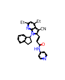 CCc1cc(CC)c2c(C#N)c(/C=C/C(=O)Nc3ccncc3)n(C3CCc4ccccc43)c2n1